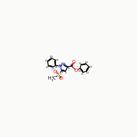 CS(=O)(=O)c1cc(C(=O)Oc2ccccc2)nn1-c1ccccc1